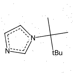 CC(C)(C)C(C)(C)n1ccnc1